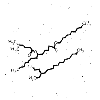 CCCCCCCCCCCCC(CC)CCC.CCCCCCCCCCOC(=O)CCCCC(CCCCCCC)OC(=O)CCCN(C)C